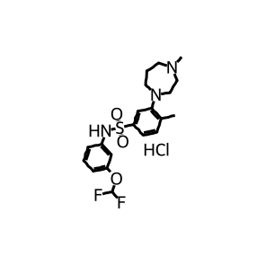 Cc1ccc(S(=O)(=O)Nc2cccc(OC(F)F)c2)cc1N1CCCN(C)CC1.Cl